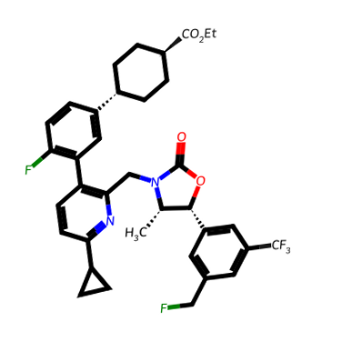 CCOC(=O)[C@H]1CC[C@H](c2ccc(F)c(-c3ccc(C4CC4)nc3CN3C(=O)O[C@H](c4cc(CF)cc(C(F)(F)F)c4)[C@@H]3C)c2)CC1